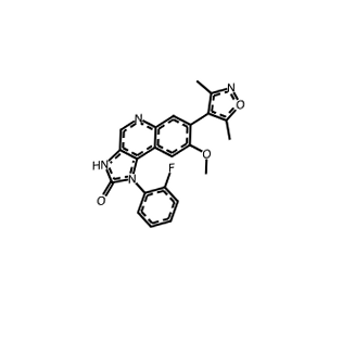 COc1cc2c(cc1-c1c(C)noc1C)ncc1[nH]c(=O)n(-c3ccccc3F)c12